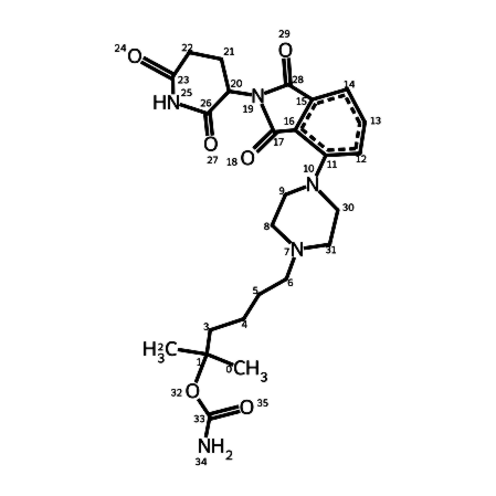 CC(C)(CCCCN1CCN(c2cccc3c2C(=O)N(C2CCC(=O)NC2=O)C3=O)CC1)OC(N)=O